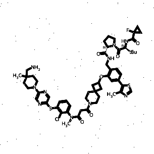 Cc1ncsc1-c1ccc(CNC(=O)[C@@H]2CCCN2C(=O)[C@@H](NC(=O)C2(F)CC2)C(C)(C)C)c(OC2CC3(CCN(C(=O)CC(=O)N(C)c4cccc(Sc5cnc(N6CCC(C)(CN)CC6)cn5)c4Cl)CC3)C2)c1